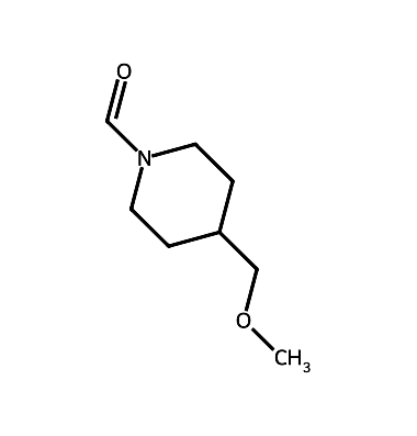 COCC1CCN(C=O)CC1